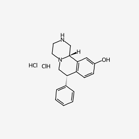 Cl.Cl.Oc1ccc2c(c1)[C@H]1CNCCN1C[C@H]2c1ccccc1